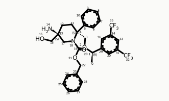 C[C@@H](OC[C@@]1(c2ccccc2)CC[C@@](N)(CO)CN1C(=O)OCc1ccccc1)c1cc(C(F)(F)F)cc(C(F)(F)F)c1